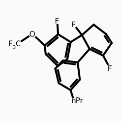 CCCc1cccc(C2=C(F)C=CCC2(F)c2cccc(OC(F)(F)F)c2F)c1